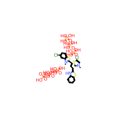 CN1C=C(Cl)SC1.C[n+]1c(C=CC=C2Nc3ccccc3S2)sc2ccc(Cl)cc21.O=P(O)(O)O.O=P(O)(O)O.O=P(O)(O)O.O=P(O)(O)O.O=P(O)(O)O.O=P([O-])(O)O